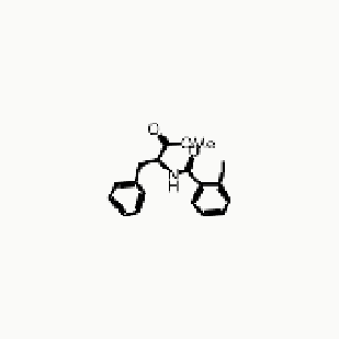 COC(=O)C(Cc1ccccc1)NC(=O)c1ccccc1I